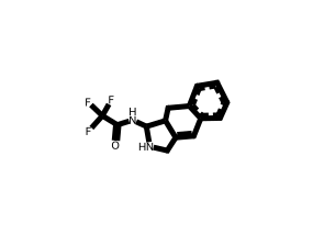 O=C(NC1NCC2=Cc3ccccc3CC21)C(F)(F)F